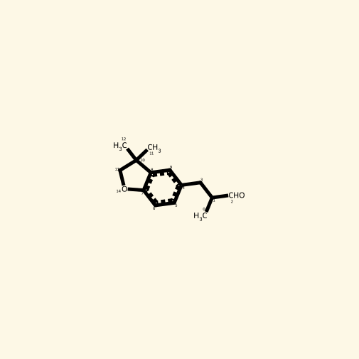 CC(C=O)Cc1ccc2c(c1)C(C)(C)CO2